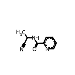 CC(C#N)NC(=O)c1ccccn1